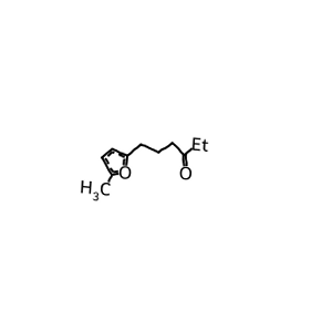 CCC(=O)CCCc1ccc(C)o1